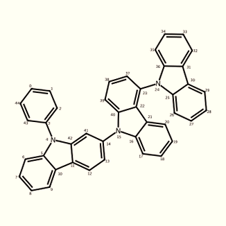 c1ccc(-n2c3ccccc3c3ccc(-n4c5ccccc5c5c(-n6c7ccccc7c7ccccc76)cccc54)cc32)cc1